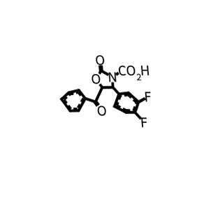 O=C(c1ccccc1)C1OC(=O)N(C(=O)O)C1c1ccc(F)c(F)c1